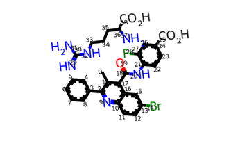 Cc1c(-c2ccccc2)nc2ccc(Br)cc2c1C(=O)Nc1ccc(C(=O)O)cc1F.N=C(N)NCCCC(N)C(=O)O